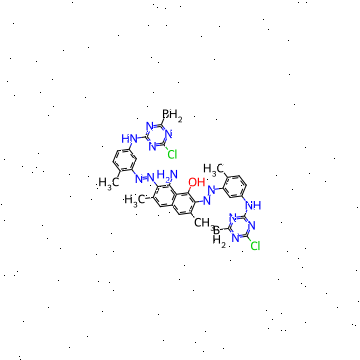 Bc1nc(Cl)nc(Nc2ccc(C)c(/N=N/c3c(C)cc4cc(C)c(/N=N/c5cc(Nc6nc(B)nc(Cl)n6)ccc5C)c(O)c4c3N)c2)n1